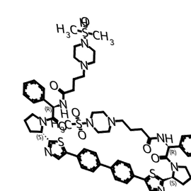 CS(=O)(=O)N1CCN(CCCC(=O)N[C@@H](C(=O)N2CCC[C@H]2c2ncc(-c3ccc(-c4ccc(-c5cnc([C@@H]6CCCN6C(=O)[C@H](NC(=O)CCCN6CCN([SH](C)(C)=O)CC6)c6ccccc6)s5)cc4)cc3)s2)c2ccccc2)CC1